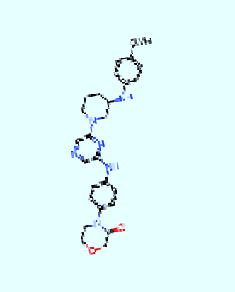 COc1ccc(N[C@@H]2CCCN(c3cncc(Nc4ccc(N5CCOCC5=O)cc4)n3)C2)cc1